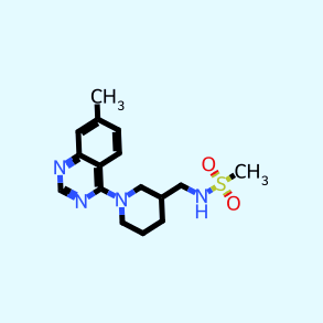 Cc1ccc2c(N3CCCC(CNS(C)(=O)=O)C3)ncnc2c1